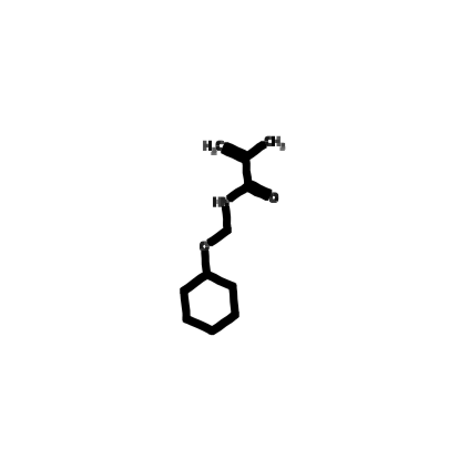 C=C(C)C(=O)NCOC1CCCCC1